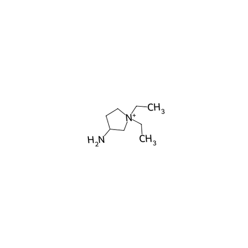 CC[N+]1(CC)CCC(N)C1